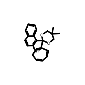 CCCc1ccc2ccccc2c1C1(C2=CCC=CC=C2)OCC(C)(C)CO1